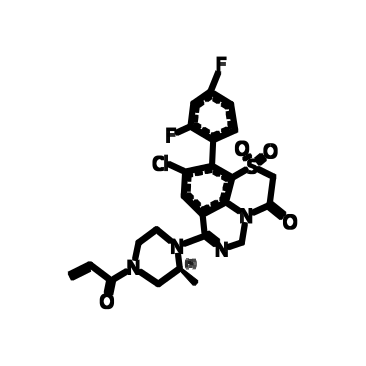 C=CC(=O)N1CCN(C2=NCN3C(=O)CS(=O)(=O)c4c(-c5ccc(F)cc5F)c(Cl)cc2c43)[C@@H](C)C1